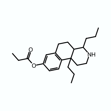 CCCC1NCCC2(CCC)c3ccc(OC(=O)CC)cc3CCC12